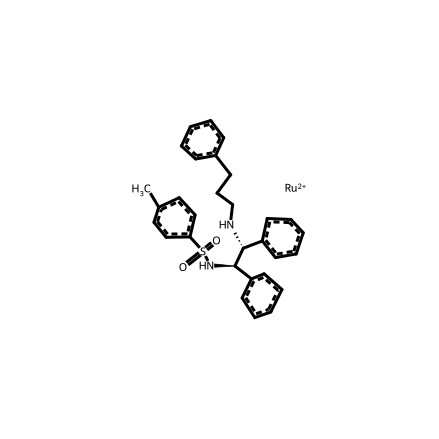 Cc1ccc(S(=O)(=O)N[C@H](c2ccccc2)[C@H](NCCCc2ccccc2)c2ccccc2)cc1.[Ru+2]